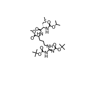 COC(=O)C(CCCN/C(=N\C(=O)OC(C)(C)C)NC(=O)OC(C)(C)C)NC(=O)[C@H](CSC)NC(=O)OC(C)C